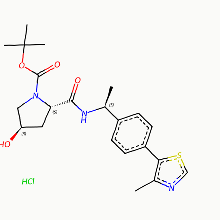 Cc1ncsc1-c1ccc([C@H](C)NC(=O)[C@@H]2C[C@@H](O)CN2C(=O)OC(C)(C)C)cc1.Cl